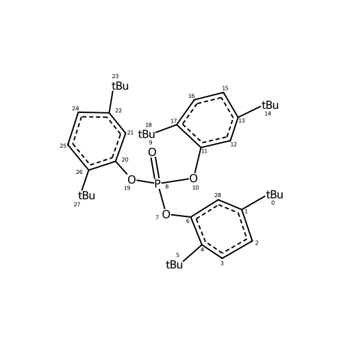 CC(C)(C)c1ccc(C(C)(C)C)c(OP(=O)(Oc2cc(C(C)(C)C)ccc2C(C)(C)C)Oc2cc(C(C)(C)C)ccc2C(C)(C)C)c1